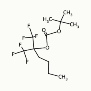 CCCCC(OC(=O)OC(C)(C)C)(C(F)(F)F)C(F)(F)F